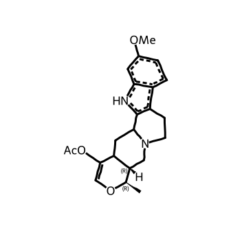 COc1ccc2c3c([nH]c2c1)C1CC2C(OC(C)=O)=CO[C@H](C)[C@H]2CN1CC3